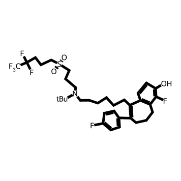 CC(C)(C)N(CCCCCCC1=C(c2ccc(F)cc2)CCCc2c1ccc(O)c2F)CCCS(=O)(=O)CCCC(F)(F)C(F)(F)F